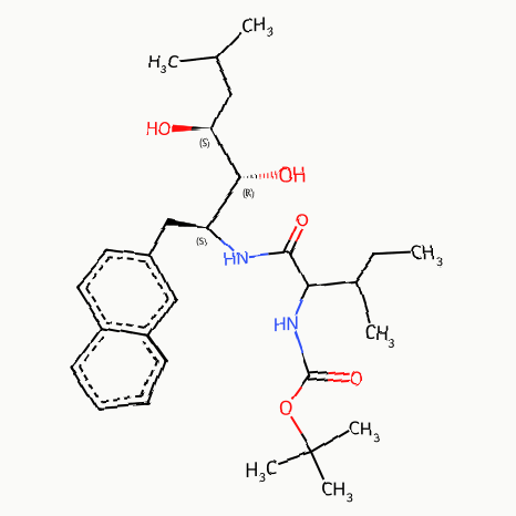 CCC(C)C(NC(=O)OC(C)(C)C)C(=O)N[C@@H](Cc1ccc2ccccc2c1)[C@@H](O)[C@@H](O)CC(C)C